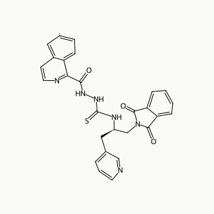 O=C(NNC(=S)N[C@H](Cc1cccnc1)CN1C(=O)c2ccccc2C1=O)c1nccc2c[c]ccc12